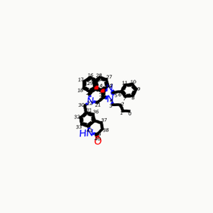 CCCCn1c(-c2ccccc2)nc(-c2ccccc2)c1CN(Cc1ccccc1)Cc1ccc2c(c1)CCC(=O)N2